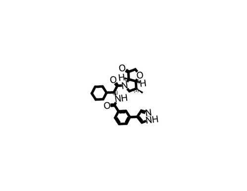 C[C@H]1CN(C(=O)[C@@H](NC(=O)c2cccc(-c3cn[nH]c3)c2)C2CCCCC2)[C@@H]2C(=O)CO[C@@H]21